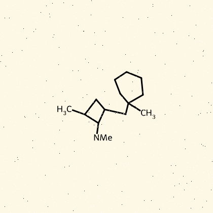 CNC1C(C)CC1CC1(C)CCCCC1